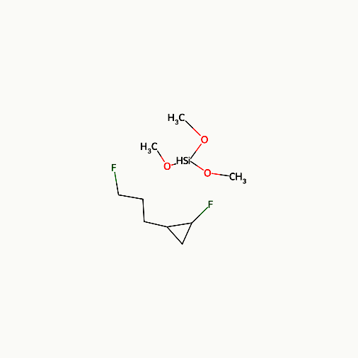 CO[SiH](OC)OC.FCCCC1CC1F